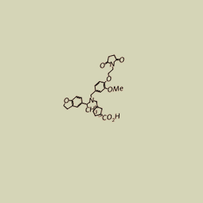 COc1cc(CN(C[C@@H]2CC[C@H](C(=O)O)C2)C(C)c2ccc3c(c2)CCO3)ccc1OCCN1C(=O)CCC1=O